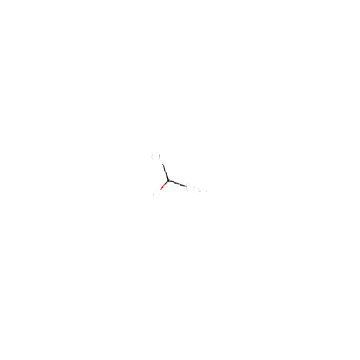 CCC([O-])CC.[K+]